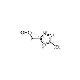 CCc1nnc(C[C]=O)o1